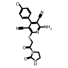 N#Cc1c(N)nc(SCC(=O)N2CCNC2=O)c(C#N)c1-c1ccc(Cl)cc1